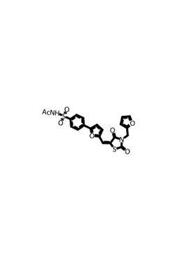 CC(=O)NS(=O)(=O)c1ccc(-c2ccc(/C=C3/SC(=O)N(Cc4ccco4)C3=O)o2)cc1